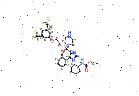 COC(=O)N[C@H]1CCCC[C@@H]1n1cnc(C(=O)N2CCNC[C@H]2CCOc2cc(C(F)(F)F)cc(C(F)(F)F)c2)c1-c1ccccc1